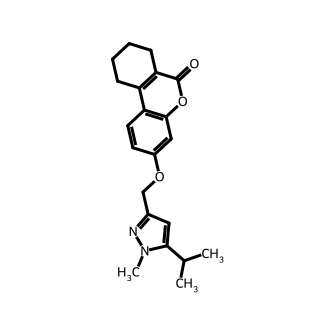 CC(C)c1cc(COc2ccc3c4c(c(=O)oc3c2)CCCC4)nn1C